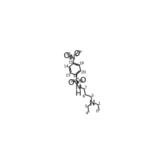 CCN(CC)CCCNS(=O)(=O)c1ccc([N+](=O)[O-])cc1